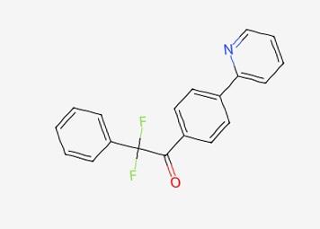 O=C(c1ccc(-c2ccccn2)cc1)C(F)(F)c1ccccc1